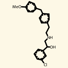 COc1ccc(Cc2ccc(CCNCC(O)c3cccc(Cl)c3)cc2)cc1